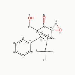 CC(C)(C)C1=CC2(CO)C(=O)[C@]3(CO3)C1CC2c1ccccc1